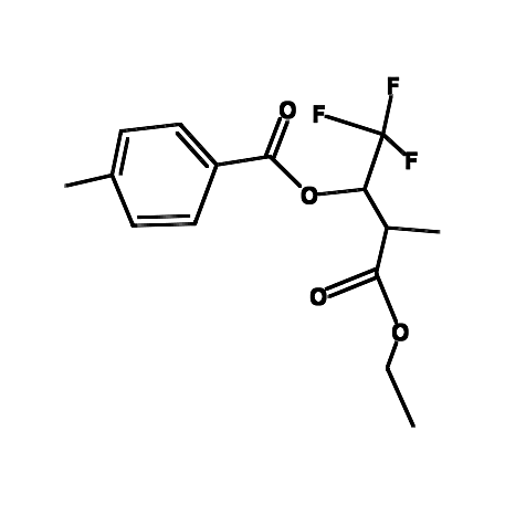 CCOC(=O)C(C)C(OC(=O)c1ccc(C)cc1)C(F)(F)F